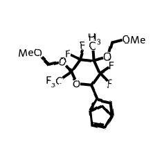 COCOC1(C)C(F)(F)C(C2CC3C=CC2C3)OC(OCOC)(C(F)(F)F)C1(F)F